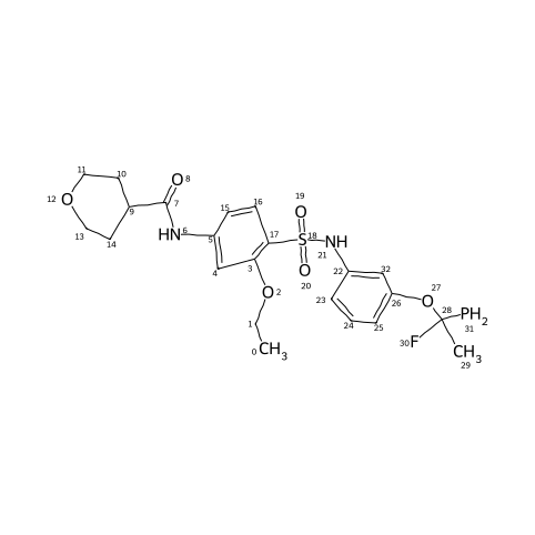 CCOc1cc(NC(=O)C2CCOCC2)ccc1S(=O)(=O)Nc1cccc(OC(C)(F)P)c1